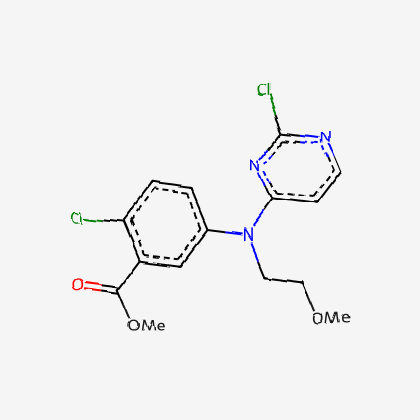 COCCN(c1ccc(Cl)c(C(=O)OC)c1)c1ccnc(Cl)n1